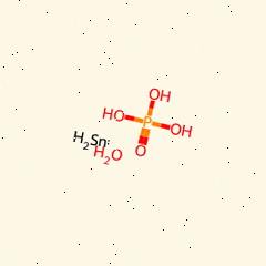 O.O=P(O)(O)O.[SnH2]